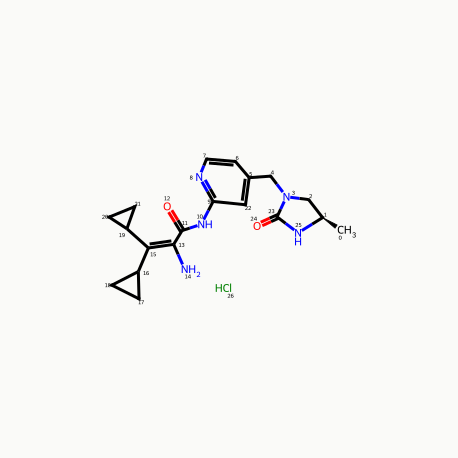 C[C@@H]1CN(Cc2ccnc(NC(=O)C(N)=C(C3CC3)C3CC3)c2)C(=O)N1.Cl